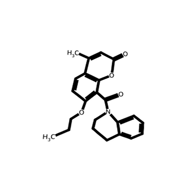 CCCOc1ccc2c(C)cc(=O)oc2c1C(=O)N1CCCc2ccccc21